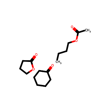 CCCCOC(C)=O.O=C1CCCCC1.O=C1CCCO1